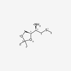 CSC[C@H](N)[C@@H]1COC(C)(C)O1